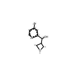 OC(c1cc(Br)ccn1)C1COC1